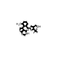 Cc1cccc(Cn2cc(CO)c(C(F)(F)F)n2)c1-c1csc2nc[nH]c(=O)c12